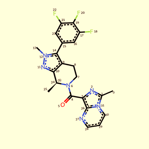 Cc1nc(C(=O)N2CCc3c(nn(C)c3-c3cc(F)c(F)c(F)c3)[C@@H]2C)c2ncccn12